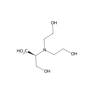 O=C(O)[C@H](CO)N(CCO)CCO